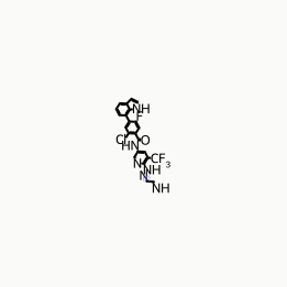 N=C/C=N\Nc1ncc(NC(=O)c2cc(F)c(-c3cccc4cc[nH]c34)cc2Cl)cc1C(F)(F)F